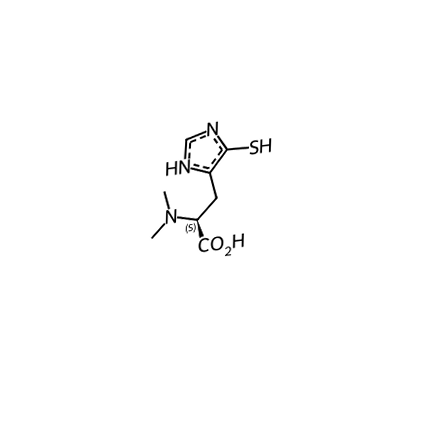 CN(C)[C@@H](Cc1[nH]cnc1S)C(=O)O